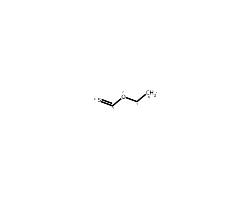 [CH2]COC=S